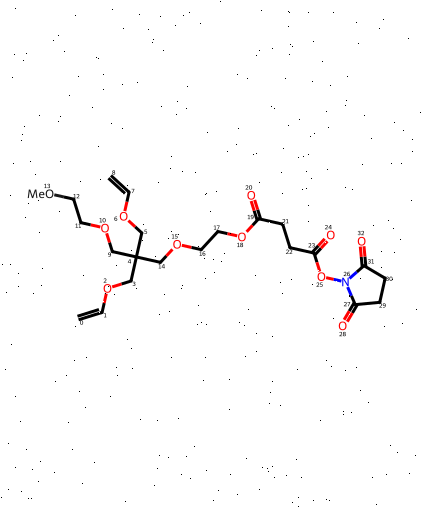 C=COCC(COC=C)(COCCOC)COCCOC(=O)CCC(=O)ON1C(=O)CCC1=O